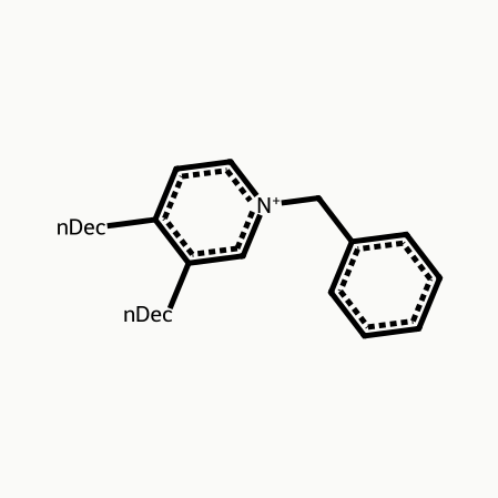 CCCCCCCCCCc1cc[n+](Cc2ccccc2)cc1CCCCCCCCCC